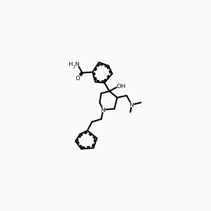 CN(C)CC1CN(CCc2ccccc2)CCC1(O)c1cccc(C(N)=O)c1